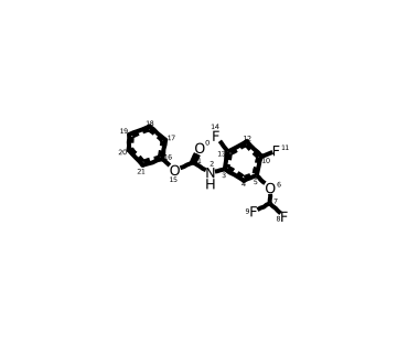 O=C(Nc1cc(OC(F)F)c(F)cc1F)Oc1ccccc1